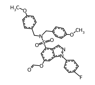 COc1ccc(CN(Cc2ccc(OC)cc2)S(=O)(=O)c2cc(OC=O)cc3c2cnn3-c2ccc(F)cc2)cc1